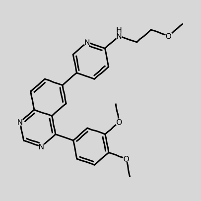 COCCNc1ccc(-c2ccc3ncnc(-c4ccc(OC)c(OC)c4)c3c2)cn1